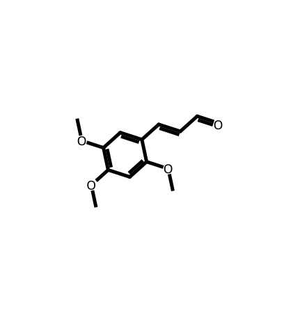 COc1cc(OC)c(OC)cc1/C=C/C=O